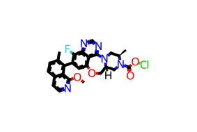 COc1nccc2ccc(C)c(-c3cc4c5c(ncnc5c3F)N3C[C@@H](C)N(C(=O)OCl)C[C@@H]3CO4)c12